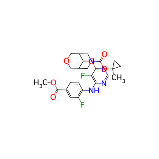 COC(=O)c1ccc(Nc2ncnc(OC3C4COCC3CN(C(=O)OC3(C)CC3)C4)c2F)c(F)c1